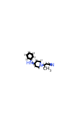 C[C@H](CC#N)N1CCC(Nc2ccccc2)CC1